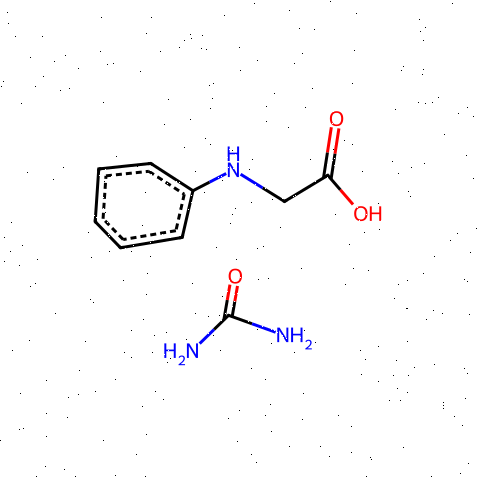 NC(N)=O.O=C(O)CNc1ccccc1